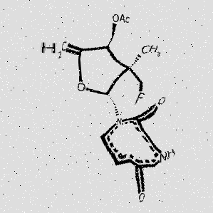 C=C1O[C@@H](n2ccc(=O)[nH]c2=O)[C@](C)(F)[C@@H]1OC(C)=O